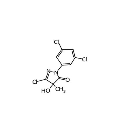 CC1(O)C(=O)N(c2cc(Cl)cc(Cl)c2)N=C1Cl